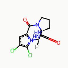 O=C1N[C@H]2n3c(cc(Cl)c3Cl)C(=O)N3CCC[C@]23N1